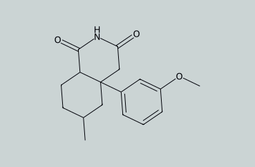 COc1cccc(C23CC(=O)NC(=O)C2CCC(C)C3)c1